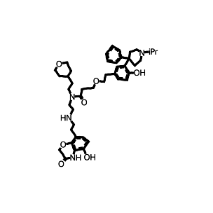 CC(C)N1CCC(c2ccccc2)(c2cc(CCOCCC(=O)N(CCNCCc3ccc(O)c4c3OCC(=O)N4)CCC3CCOCC3)ccc2O)CC1